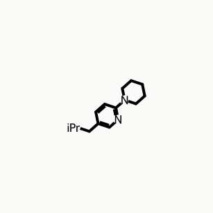 CC(C)Cc1ccc(N2CCCCC2)nc1